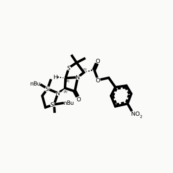 CCCC[Si]1(C)CC[Si](C)(CCCC)N1[C@@H]1C(=O)N2[C@@H]1SC(C)(C)[C@@H]2C(=O)OCc1ccc([N+](=O)[O-])cc1